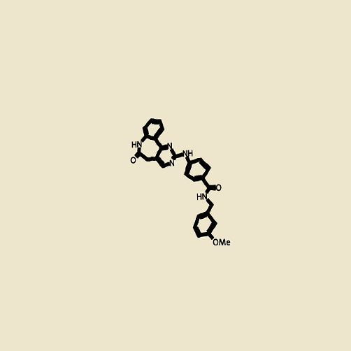 COc1cccc(CNC(=O)c2ccc(Nc3ncc4c(n3)-c3ccccc3NC(=O)C4)cc2)c1